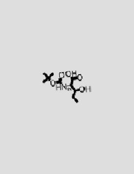 CCC(O)[C@H](NC(=O)OC(C)(C)C)C(=O)O